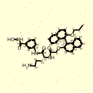 CCCOc1ccc2ccccc2c1-c1c(OCC(=O)N[C@H](CCCN)C(=O)Nc2cccc(C(=O)NO)c2)ccc2ccccc12